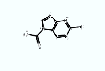 CCCc1ncc2c(ncn2C(N)=O)n1